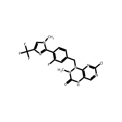 CN1C(=O)Nc2cnc(Cl)nc2N1Cc1ccc(-c2nc(C(F)(F)F)cn2C)c(F)c1